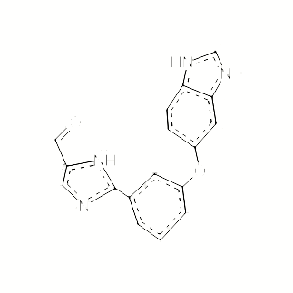 O=Cc1cnc(-c2cccc(Oc3ccc4[nH]cnc4c3)c2)[nH]1